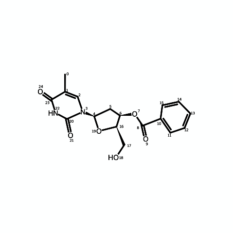 Cc1cn([C@H]2C[C@@H](OC(=O)c3ccccc3)[C@@H](CO)O2)c(=O)[nH]c1=O